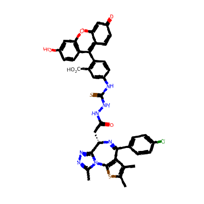 Cc1sc2c(c1C)C(c1ccc(Cl)cc1)=N[C@@H](CC(=O)NNC(=S)Nc1ccc(-c3c4ccc(=O)cc-4oc4cc(O)ccc34)c(C(=O)O)c1)c1nnc(C)n1-2